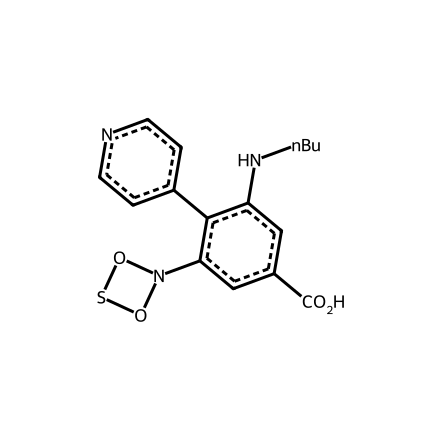 CCCCNc1cc(C(=O)O)cc(N2OSO2)c1-c1ccncc1